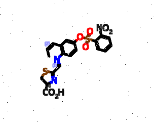 C/C=C\c1cc(OS(=O)(=O)c2ccccc2[N+](=O)[O-])ccc1/N=C/C1=N[C@@H](C(=O)O)CS1